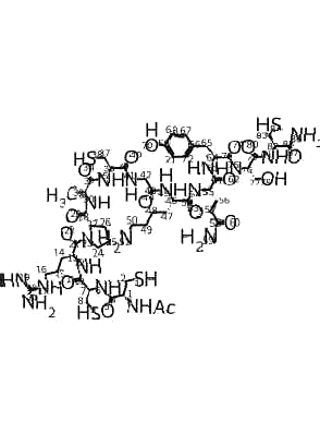 CC(=O)N[C@@H](CS)C(=O)N[C@@H](CS)C(=O)N[C@@H](CCCNC(=N)N)C(=O)N1CCC[C@H]1C(=O)N[C@@H](C)C(=O)N[C@@H](CS)C(=O)NCC(=O)N[C@@H](CCCCN)C(=O)N[C@@H](CCC(N)=O)C(=O)N[C@@H](Cc1ccc(O)cc1)C(=O)N[C@@H](CO)C(=O)N[C@@H](CS)C(N)=O